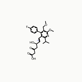 COCc1c(OC)nc(C(C)C)c(/C=C/C(O)CC(=O)CC(=O)O)c1-c1ccc(F)cc1